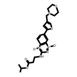 CC(C)OC(=O)CCNc1n[n+]([O-])c2cc(-c3cc(CN4CCOCC4)cs3)ccc2[n+]1[O-]